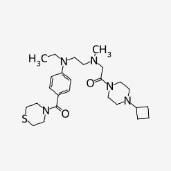 CCN(CCN(C)CC(=O)N1CCN(C2CCC2)CC1)c1ccc(C(=O)N2CCSCC2)cc1